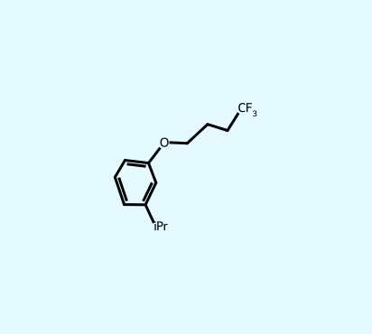 CC(C)c1cccc(OCCCC(F)(F)F)c1